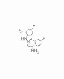 NC(=O)c1ccc(F)cc1-c1n[nH]c2c(C3CC3)cc(F)cc12